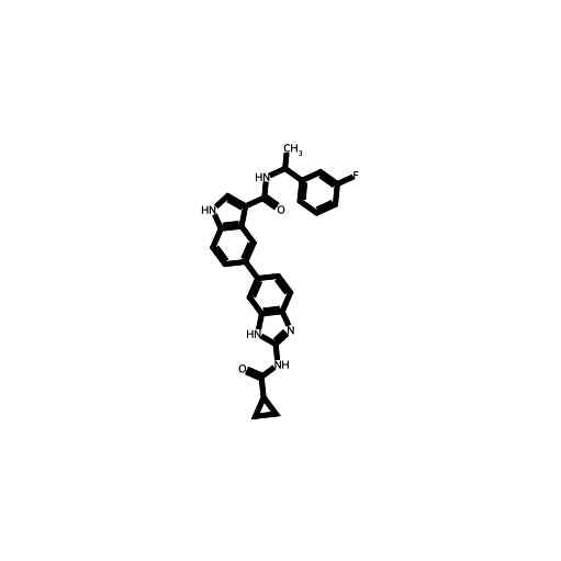 CC(NC(=O)c1c[nH]c2ccc(-c3ccc4nc(NC(=O)C5CC5)[nH]c4c3)cc12)c1cccc(F)c1